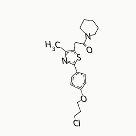 Cc1nc(-c2ccc(OCCCCl)cc2)sc1CC(=O)N1CCCCC1